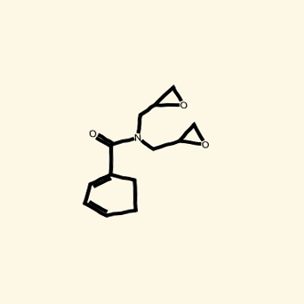 O=C(C1=CC=CCC1)N(CC1CO1)CC1CO1